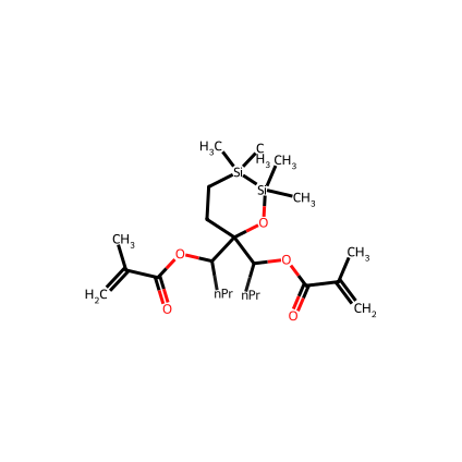 C=C(C)C(=O)OC(CCC)C1(C(CCC)OC(=O)C(=C)C)CC[Si](C)(C)[Si](C)(C)O1